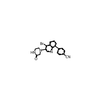 N#Cc1ccc(-c2cccc3c(Br)c(N4CCNC(=O)C4)cnc23)cc1